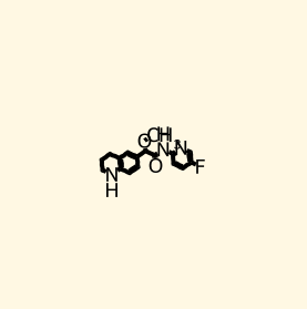 COC(C(=O)Nc1ccc(F)cn1)c1ccc2c(c1)CCCN2